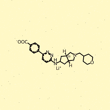 O=C([O-])c1ccc(-c2ccc(NC3C[C@@H]4CN(CC5CCOCC5)C[C@@H]4C3)nn2)cc1.[Li+]